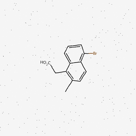 Cc1ccc2c(Br)cccc2c1CC(=O)O